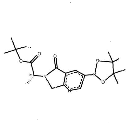 C[C@H](C(=O)OC(C)(C)C)N1Cc2ncc(B3OC(C)(C)C(C)(C)O3)cc2C1=O